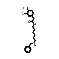 CN(CCCCCCNC(=O)Cc1ccc(O)c(Cl)c1)Cc1ccccc1